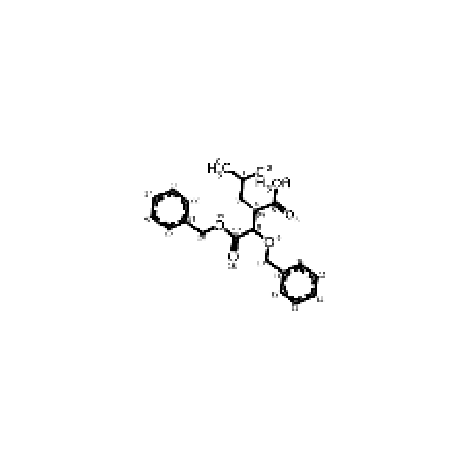 CC(C)C[C@@H](C(=O)O)C(OCc1ccccc1)C(=O)OCc1ccccc1